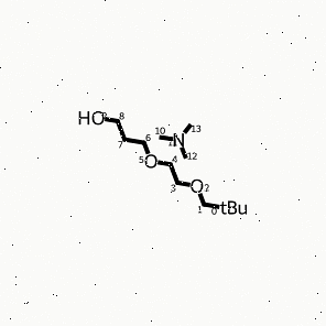 CC(C)(C)COCCOCCCO.CN(C)C